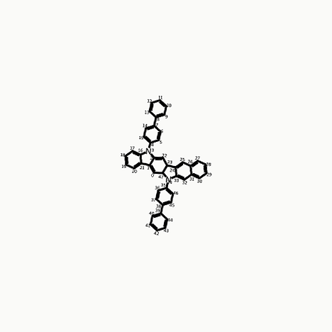 C1=c2c(n(-c3ccc(-c4ccccc4)cc3)c3ccccc23)=CC2c3cc4ccccc4cc3N(c3ccc(-c4ccccc4)cc3)C12